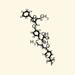 CC/C(=C/C(=O)c1ccc(C(F)(F)F)cc1)N[C@@H](Cc1ccc(OCc2nc(-c3ccccc3)oc2CC)cc1)C(=O)O